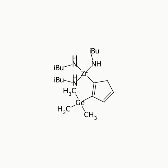 CCC(C)[NH][Zr]([NH]C(C)CC)([NH]C(C)CC)[C]1=[C]([Ge]([CH3])([CH3])[CH3])C=CC1